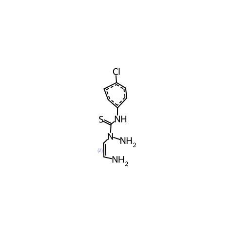 N/C=C\N(N)C(=S)Nc1ccc(Cl)cc1